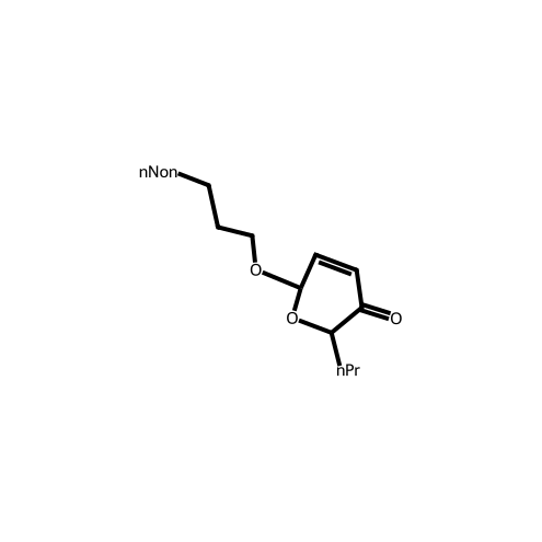 CCCCCCCCCCCCOC1C=CC(=O)C(CCC)O1